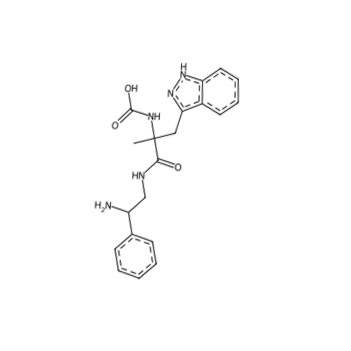 CC(Cc1n[nH]c2ccccc12)(NC(=O)O)C(=O)NCC(N)c1ccccc1